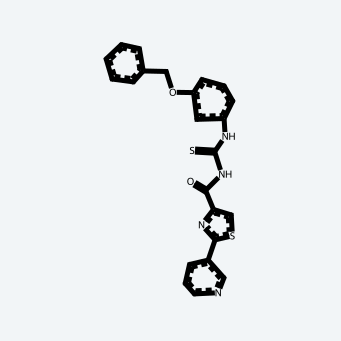 O=C(NC(=S)Nc1cccc(OCc2ccccc2)c1)c1csc(-c2cccnc2)n1